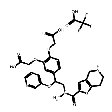 CN(CC(Oc1cccnc1)c1ccc(OCC(=O)O)c(OCC(=O)O)c1)C(=O)c1cc2c(s1)CCNC2.O=C(O)C(F)(F)F